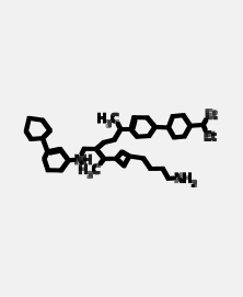 CCC(CC)C1CCC(C2CC=C(C(C)CCC(CNC3C=C(C4CCCCC4)CCC3)C(C)C3CC(CCCCN)C3)CC2)CC1